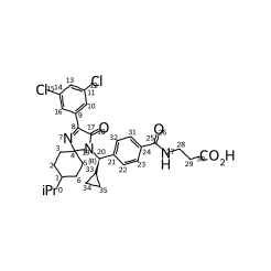 CC(C)C1CCC2(CC1)N=C(c1cc(Cl)cc(Cl)c1)C(=O)N2[C@@H](c1ccc(C(=O)NCCC(=O)O)cc1)C1CC1